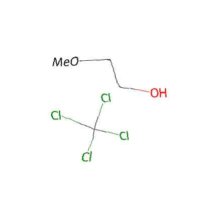 COCCO.ClC(Cl)(Cl)Cl